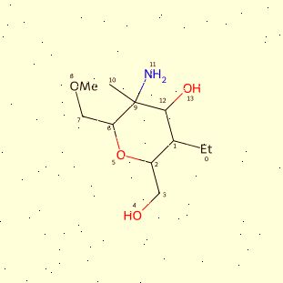 CCC1C(CO)OC(COC)C(C)(N)C1O